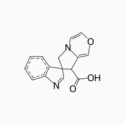 O=C(O)C1C2=COC=CN2CC12C=Nc1ccccc12